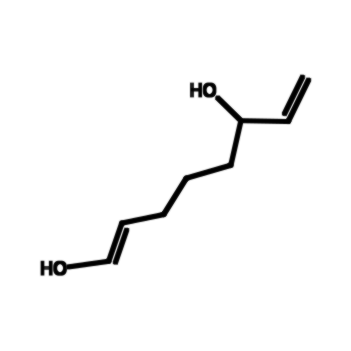 C=CC(O)CCCC=CO